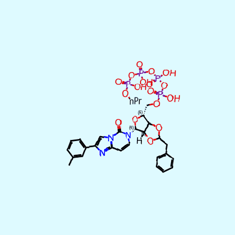 CCCOP(=O)(O)OP(=O)(O)OP(=O)(O)OP(=O)(O)OC[C@H]1O[C@@H](n2ccc3nc(-c4cccc(C)c4)cn3c2=O)[C@H]2OC(Cc3ccccc3)OC12